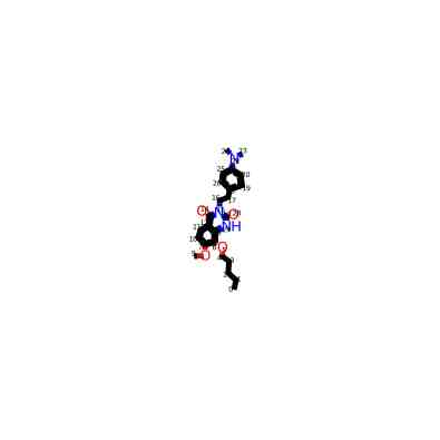 CCCCCOc1c(OC)ccc2c(=O)n(CCc3ccc(N(C)C)cc3)c(=O)[nH]c12